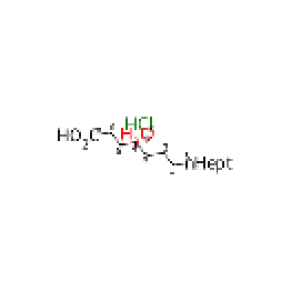 CCCCCCCCCCCCCC(=O)O.Cl.O